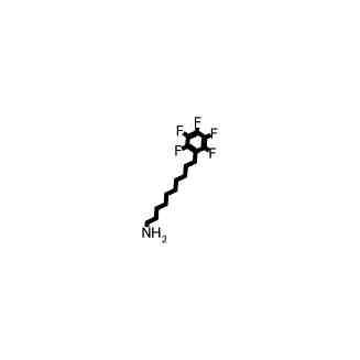 NCCCCCCCCCCc1c(F)c(F)c(F)c(F)c1F